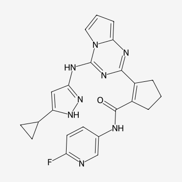 O=C(Nc1ccc(F)nc1)C1=C(c2nc(Nc3cc(C4CC4)[nH]n3)n3cccc3n2)CCC1